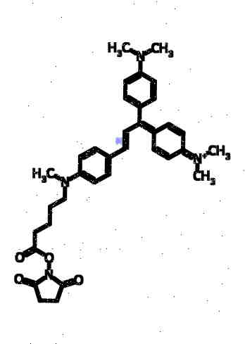 CN(C)c1ccc(C(/C=C/c2ccc(N(C)CCCCC(=O)ON3C(=O)CCC3=O)cc2)=C2C=CC(=[N+](C)C)C=C2)cc1